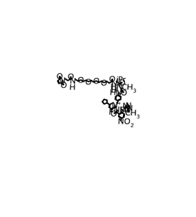 CC(C)[C@H](NC(=O)CCOCCOCCOCCOCCNC(=O)CCN1C(=O)C=CC1=O)C(=O)N[C@@H](C)C(=O)Nc1ccc(C[n+]2cc(C3CCCC3)cc(F)c2NC(=O)c2cc([N+](=O)[O-])ccc2Sc2nnnn2C)cc1